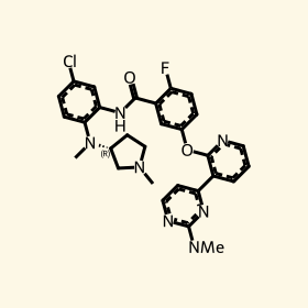 CNc1nccc(-c2cccnc2Oc2ccc(F)c(C(=O)Nc3cc(Cl)ccc3N(C)[C@@H]3CCN(C)C3)c2)n1